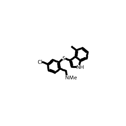 CNCc1ccc(Cl)cc1Sc1c[nH]c2cccc(C)c12